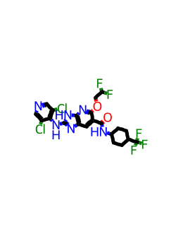 O=C(NC1CCC(C(F)(F)F)CC1)c1cc2nc(Nc3c(Cl)cncc3Cl)[nH]c2nc1OCC(F)F